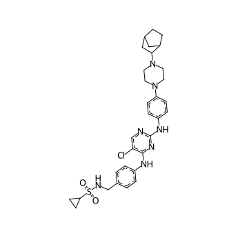 O=S(=O)(NCc1ccc(Nc2nc(Nc3ccc(N4CCN(C5CC6CCC5C6)CC4)cc3)ncc2Cl)cc1)C1CC1